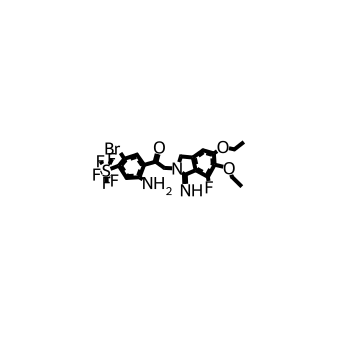 CCOc1cc2c(c(F)c1OCC)C(=N)N(CC(=O)c1cc(Br)c(S(F)(F)(F)(F)F)cc1N)C2